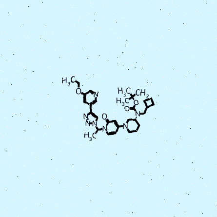 CCOc1cncc(-c2cn(C(C)n3ccc(N4CCC[C@@H](N(CC5CCC5)C(=O)OC(C)(C)C)C4)cc3=O)nn2)c1